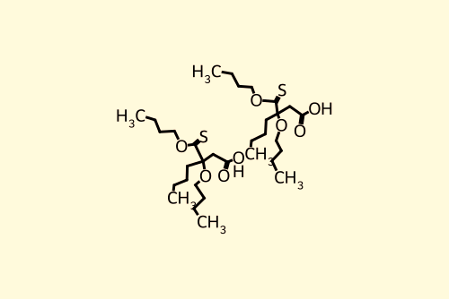 CCCCOC(=S)C(CCCC)(CC(=O)O)OCCCC.CCCCOC(=S)C(CCCC)(CC(=O)O)OCCCC